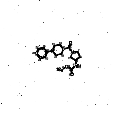 CC(C)(C)OC(=O)NC1CCN(C(=O)C2CCN(c3ccncc3)CC2)C1